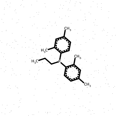 CCCP(c1ccc(C)cc1C)c1ccc(C)cc1C